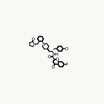 O=C(N[C@H](C=C1CCN(c2ccccc2CN2CCCC2=O)CC1)Cc1ccc(Cl)cc1)c1cc(=O)c2ccc(F)cc2o1